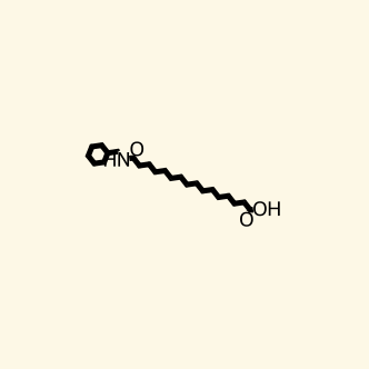 O=C(O)CCCCCCCCCCCCCCC(=O)NCC1CCCCC1